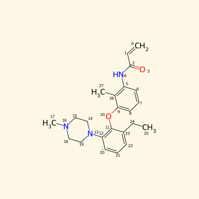 C=CC(=O)Nc1cccc(Oc2c(N3CCN(C)CC3)[c]ccc2CC)c1C